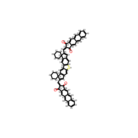 O=C1C(=CC2=Cc3cc4sc5cc6c(cc5c4cc3C23CCCCC3)C2(CCCCC2)C(C=C2C(=O)c3cc4cc5ccccc5cc4cc3C2=O)=C6)C(=O)c2cc3cc4ccccc4cc3cc21